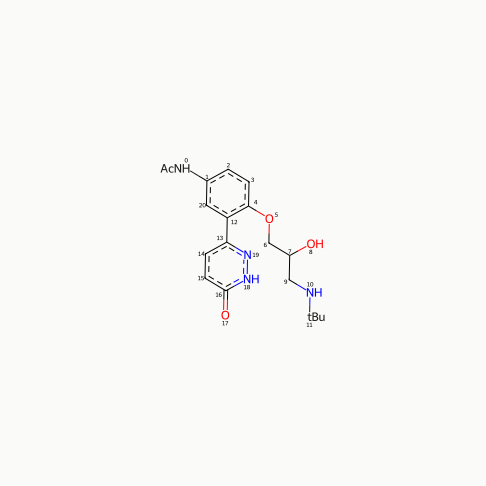 CC(=O)Nc1ccc(OCC(O)CNC(C)(C)C)c(-c2ccc(=O)[nH]n2)c1